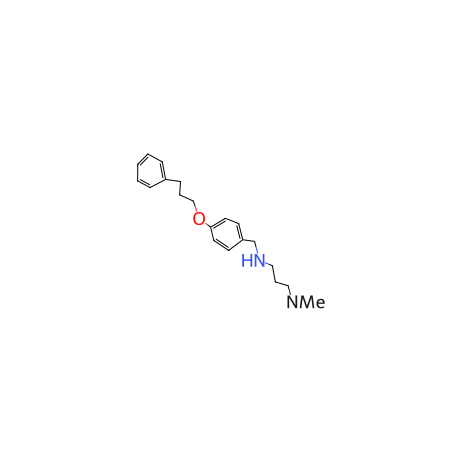 CNCCCNCc1ccc(OCCCc2ccccc2)cc1